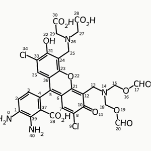 Nc1ccc(-c2c3cc(Cl)c(=O)c(CN(COC=O)COC=O)c-3oc3c(CN(CC(=O)O)CC(=O)O)c(O)c(Cl)cc23)c(C(=O)O)c1N